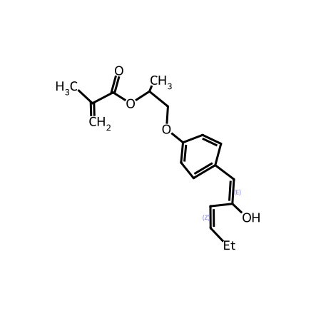 C=C(C)C(=O)OC(C)COc1ccc(/C=C(O)\C=C/CC)cc1